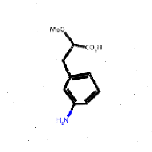 COC(Cc1cccc(N)c1)C(=O)O